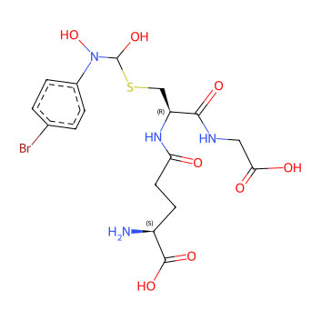 N[C@@H](CCC(=O)N[C@@H](CSC(O)N(O)c1ccc(Br)cc1)C(=O)NCC(=O)O)C(=O)O